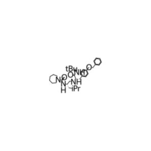 CC(C)C[C@@H](CN[C@@H](Cc1ccc(OCc2ccccc2)cc1)C(=O)NC(C)(C)C)NC(=O)N1CCCCCC1